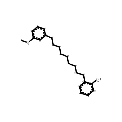 COc1cccc(CCCCCCCCCc2ccccc2O)c1